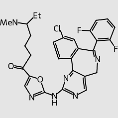 CCC(CCCC(=O)c1cnc(Nc2ncc3c(n2)-c2ccc(Cl)cc2C(c2c(F)cccc2F)=NC3)o1)NC